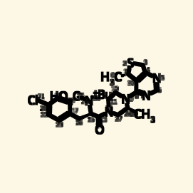 C[C@@H]1SCc2ncnc(N3CCN(C(=O)[C@@H](Cc4ccc(Cl)cc4)N(C(=O)O)C(C)(C)C)C[C@@H]3C)c21